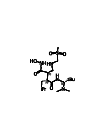 CC(C)C[C@@H](C(=O)N[C@@H](N(C)C)C(C)(C)C)[C@H](CNCS(C)(=O)=O)C(=O)NO